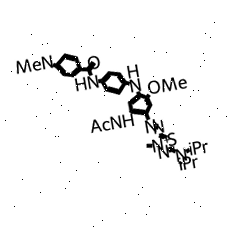 CNc1ccc(C(=O)Nc2ccc(Nc3cc(NC(C)=O)c(N=Nc4sc(N(C(C)C)C(C)C)n[n+]4C)cc3OC)cc2)cc1